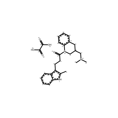 Cc1[nH]c2ccccc2c1CCC(=O)N1CC(CN(C)C)Cc2ccccc21.O=C(O)C(=O)O